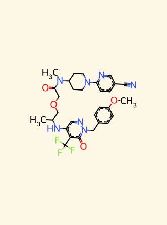 COc1ccc(Cn2ncc(NC(C)COCC(=O)N(C)C3CCN(c4ccc(C#N)cn4)CC3)c(C(F)(F)F)c2=O)cc1